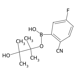 CC(C)(O)C(C)(C)OB(O)c1cc(F)ccc1C#N